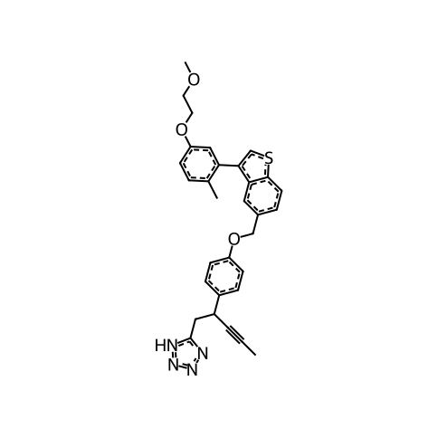 CC#CC(Cc1nnn[nH]1)c1ccc(OCc2ccc3scc(-c4cc(OCCOC)ccc4C)c3c2)cc1